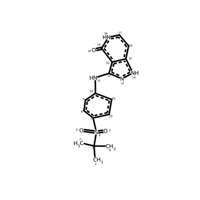 CC(C)(C)S(=O)(=O)c1ccc(Nc2n[nH]c3cc[nH]c(=O)c23)cc1